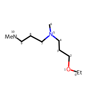 CCOCCCN(C)CCCNC